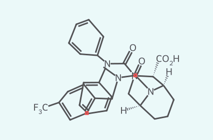 CN(Cc1ccc(C(F)(F)F)cc1)C(=O)N1[C@H]2CCC[C@@H]1[C@@H](C(=O)O)N(C(=O)N(c1ccccc1)c1ccccc1)C2